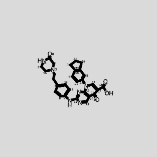 O=C1CN(CCc2ccc(Nc3ncc4c(=O)c(C(=O)O)cn(-c5ccc6c(c5)CCC6)c4n3)cc2)CCN1